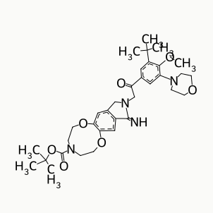 COc1c(N2CCOCC2)cc(C(=O)CN2Cc3cc4c(cc3C2=N)OCCN(C(=O)OC(C)(C)C)CCO4)cc1C(C)(C)C